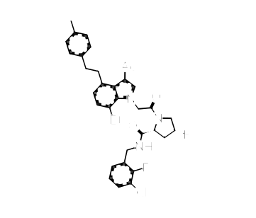 CCc1ccc(CCc2ccc(C)cc2)c2c(C(C)=O)cn(CC(=O)N3C[C@H](F)C[C@H]3C(=O)NCc3cccc(Cl)c3F)c12